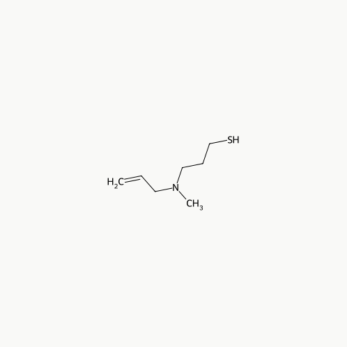 C=CCN(C)CCCS